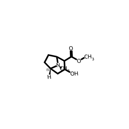 COC(=O)C1C(O)C[C@@H]2CCC1N2C